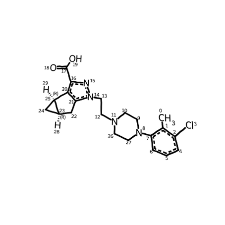 Cc1c(Cl)cccc1N1CCN(CCn2nc(C(=O)O)c3c2C[C@H]2C[C@@H]32)CC1